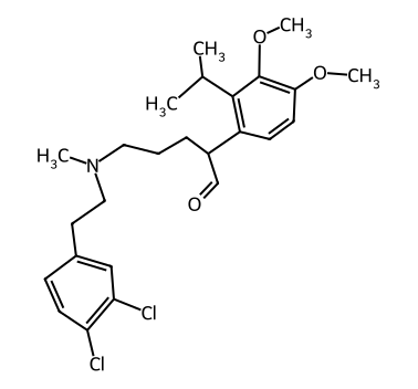 COc1ccc(C(C=O)CCCN(C)CCc2ccc(Cl)c(Cl)c2)c(C(C)C)c1OC